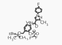 Cc1nn(-c2ccc(F)cc2)cc1C(=O)Nc1ccc(CO[Si](C)(C)C(C)(C)C)c(OS(=O)(=O)C(F)F)c1